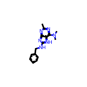 Cc1nc(N(C)C)c2[nH]c(NCc3ccccc3)nc2n1